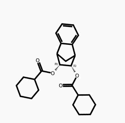 O=C(O[C@@H]1C2CC(c3ccccc32)[C@@H]1OC(=O)C1CCCCC1)C1CCCCC1